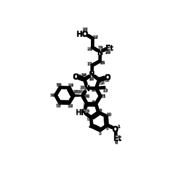 CCOc1ccc2[nH]c3c(c2c1)CC1(C)C(=O)N(CCN(CC)CCO)C(=O)N1[C@@H]3C1=CCCC=C1